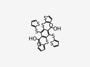 O=C(O)c1c(Sc2cccs2)c(Sc2cccs2)c(C(=O)O)c(Sc2cccs2)c1Sc1cccs1